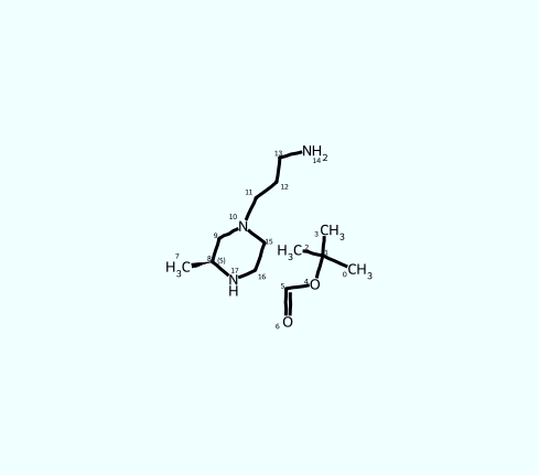 CC(C)(C)OC=O.C[C@H]1CN(CCCN)CCN1